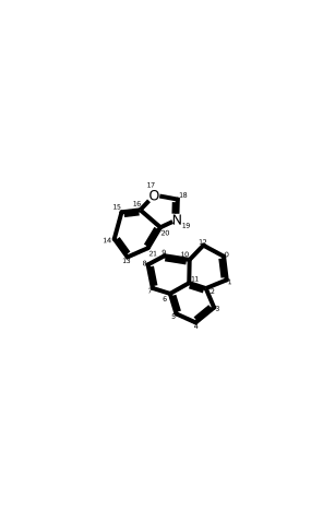 C1=Cc2cccc3cccc(c23)C1.c1ccc2ocnc2c1